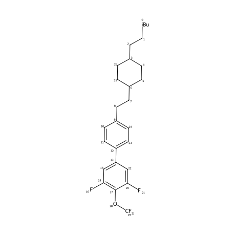 CCC(C)CCC1CCC(CCc2ccc(-c3cc(F)c(OC(F)(F)F)c(F)c3)cc2)CC1